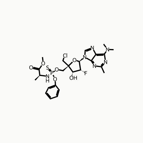 COC(=O)[C@H](C)NP(=S)(OC[C@@]1(CCl)O[C@@H](n2cnc3c(N(C)C)nc(C)nc32)[C@H](F)[C@@H]1O)Oc1ccccc1